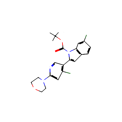 CC(C)(C)OC(=O)n1c(-c2cnc(N3CCOCC3)cc2F)cc2ccc(F)cc21